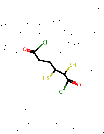 O=C(Cl)CCC(S)C(S)C(=O)Cl